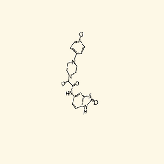 O=C(Nc1ccc2[nH]c(=O)sc2c1)C(=O)N1CCN(c2ccc(Cl)cc2)CC1